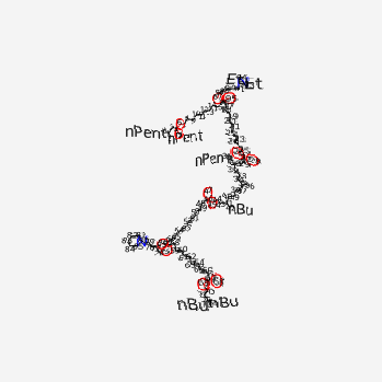 CCCCCC(CCCCC)CC(=O)OCCCCCCCCCC1(CCCCCCCCCOC(=O)CC(CCCCC)CCCC(C)CCCCC(CCCC)CCOC(=O)CCCCCCCCCC2(CCCCCCCCCC(=O)OCCC(CCCC)CCCC)OCC(CCN3CCCCC3)O2)OCC(CCN(CC)CC)O1